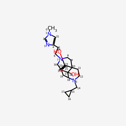 Cn1cnc(CCN2CCC34CCN(CC5CC5)C(Cc5ccc(O)cc53)C4(O)CC2)c1